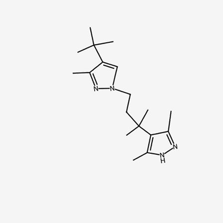 Cc1nn(CCC(C)(C)c2c(C)n[nH]c2C)cc1C(C)(C)C